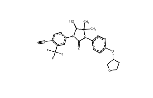 CC1(C)C(O)N(c2ccc(C#N)c(C(F)(F)F)c2)C(=S)N1c1ccc(O[C@@H]2CCOC2)nc1